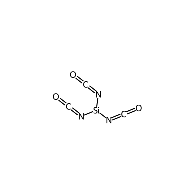 O=C=N[Si](N=C=O)N=C=O